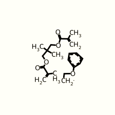 C=C(C)C(=O)OCC(C)(C)COC(=O)C(=C)C.[CH2]COc1ccccc1